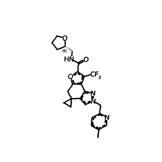 Cc1ccc(Cn2cc3c(n2)-c2c(oc(C(=O)NC[C@@H]4CCCO4)c2C(F)(F)F)CC32CC2)nc1